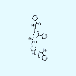 CN(C)c1nc(N[C@H]2CC[C@@H](CNC(=O)C(CCCCNC(=O)c3ccccc3)CC(=O)c3ccccc3)CC2)nc2ccccc12